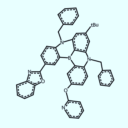 CC(C)(C)c1cc2c3c(c1)N(Cc1ccccc1)c1ccc(-c4nc5ccccc5o4)cc1B3c1cc(Oc3ccccn3)ccc1N2Cc1ccccc1